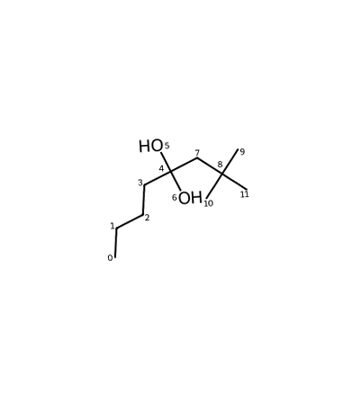 CCCCC(O)(O)CC(C)(C)C